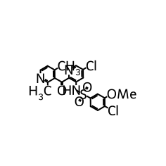 COc1cc(S(=O)(=O)Nc2cc(Cl)cnc2C(=O)c2c(C)ccnc2C)ccc1Cl